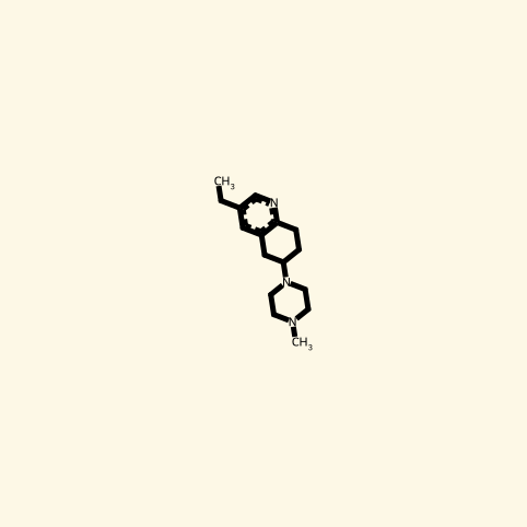 CCc1cnc2c(c1)CC(N1CCN(C)CC1)CC2